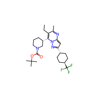 CCc1c(C)nc2cc([C@H]3CC[C@H](C(F)(F)F)CC3)nn2c1[C@H]1CCCN(C(=O)OC(C)(C)C)C1